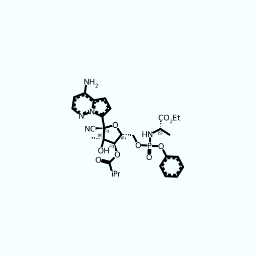 CCOC(=O)[C@H](C)NP(=O)(OC[C@H]1O[C@@](C#N)(c2ccc3c(N)ccnn23)[C@](C)(O)[C@@H]1OC(=O)C(C)C)Oc1ccccc1